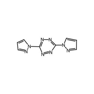 c1cnn(-c2nnc(-n3cccn3)nn2)c1